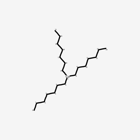 CCCCCC[CH2][Ga]([CH2]CCCCCC)[CH2]CCCCCC